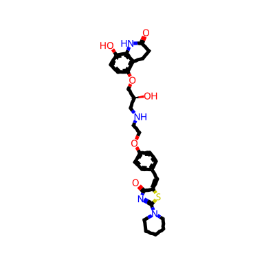 O=C1CCc2c(OC[C@@H](O)CNCCOc3ccc(/C=C4/SC(N5CCCCC5)=NC4=O)cc3)ccc(O)c2N1